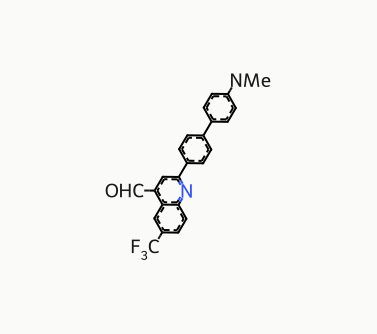 CNc1ccc(-c2ccc(-c3cc(C=O)c4cc(C(F)(F)F)ccc4n3)cc2)cc1